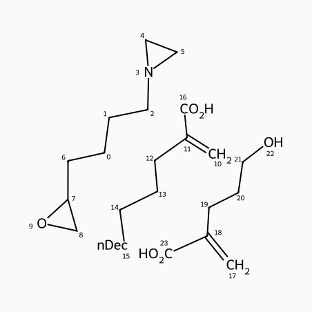 C(CCN1CC1)CC1CO1.C=C(CCCCCCCCCCCCC)C(=O)O.C=C(CCCO)C(=O)O